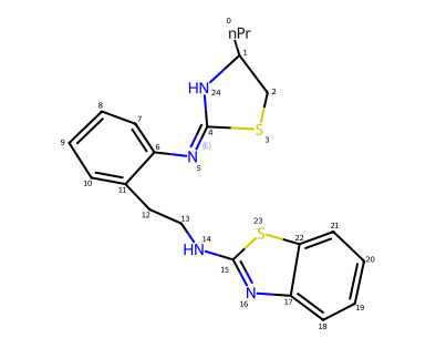 CCCC1CS/C(=N/c2ccccc2CCNc2nc3ccccc3s2)N1